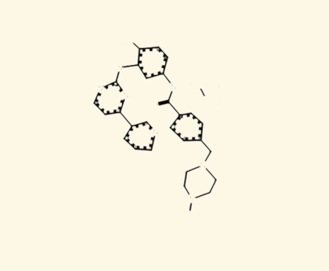 CS(=O)(=O)O.Cc1ccc(NC(=O)c2ccc(CN3CCN(C)CC3)cc2)cc1Nc1nccc(-c2cccnc2)n1.Cl